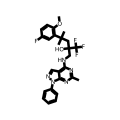 COc1ccc(F)cc1C(C)(C)CC(O)(CNc1nc(C)nc2c1cnn2-c1ccccc1)C(F)(F)F